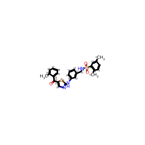 Cc1ccc(C)c(S(=O)(=O)NCc2cccc(Nc3ncc(C(=O)c4ccccc4C)s3)c2)c1